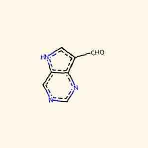 O=Cc1c[nH]c2cncnc12